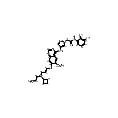 COc1cc2c(Nc3cnn(CC(=O)Nc4cccc(F)c4F)c3)ncnc2cc1OCCC[As](CCO)C1CCC1